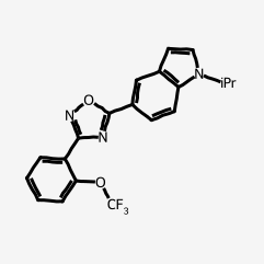 CC(C)n1ccc2cc(-c3nc(-c4ccccc4OC(F)(F)F)no3)ccc21